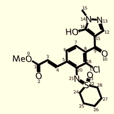 COC(=O)/C=C/c1ccc(C(=O)c2cnn(C)c2O)c(Cl)c1N=S1(=O)CCCCC1